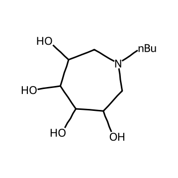 CCCCN1CC(O)C(O)C(O)C(O)C1